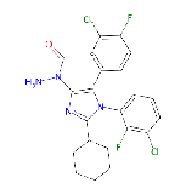 NN(C=O)c1nc(C2CCCCC2)n(-c2cccc(Cl)c2F)c1-c1ccc(F)c(Cl)c1